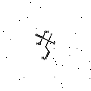 C=CCC(F)(F)P(=O)(O)O